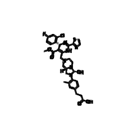 COC(=O)C1=C(CN2CCN3C(O)N(c4ccc(CCC(=O)O)cc4C)C[C@@H]3C2)NC(c2nccs2)=N[C@H]1c1ccc(F)cc1Cl